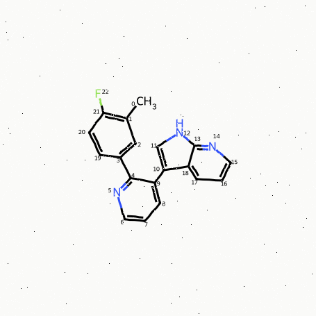 Cc1cc(-c2ncccc2-c2c[nH]c3ncccc23)ccc1F